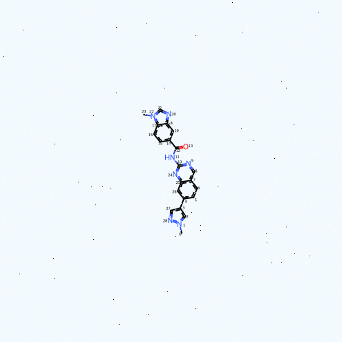 Cn1cc(-c2ccc3cnc(NC(=O)c4ccc5c(c4)ncn5C)nc3c2)cn1